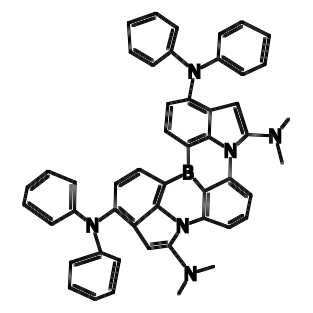 CN(C)c1cc2c(N(c3ccccc3)c3ccccc3)ccc3c2n1-c1cccc2c1B3c1ccc(N(c3ccccc3)c3ccccc3)c3cc(N(C)C)n-2c13